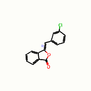 O=C1O/C(=C\c2cccc(Cl)c2)c2ccccc21